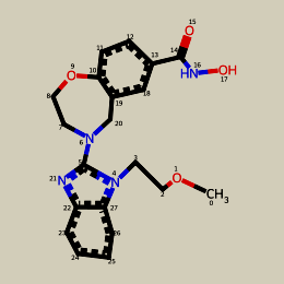 COCCn1c(N2CCOc3ccc(C(=O)NO)cc3C2)nc2ccccc21